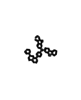 c1ccc(-c2ccc3cccc(-c4ccc(N(c5ccc6c(c5)oc5ccccc56)c5ccc6c(c5)oc5ccccc56)cc4)c3c2)cc1